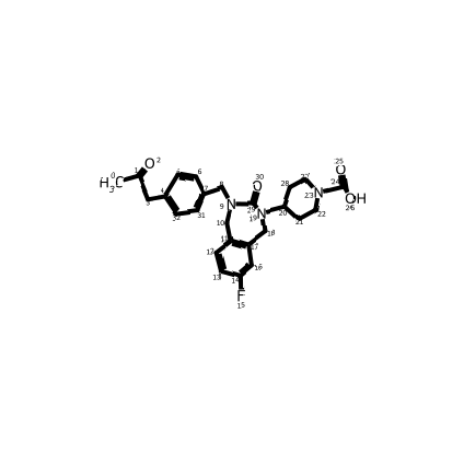 CC(=O)Cc1ccc(CN2Cc3ccc(F)cc3CN(C3CCN(C(=O)O)CC3)C2=O)cc1